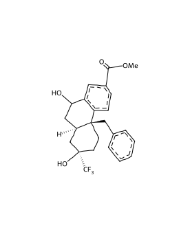 COC(=O)c1ccc2c(c1)C(O)C[C@@H]1C[C@@](O)(C(F)(F)F)CC[C@@]21Cc1ccccc1